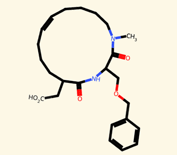 CN1CCCCC=CCCCC(CC(=O)O)C(=O)NC(COCc2ccccc2)C1=O